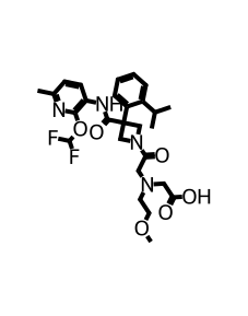 COCCN(CC(=O)O)CC(=O)N1CC(C(=O)Nc2ccc(C)nc2OC(F)F)(c2ccccc2C(C)C)C1